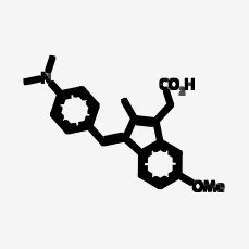 COc1ccc2c(c1)C(CC(=O)O)=C(C)C2=Cc1ccc(N(C)C)cc1